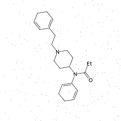 CCC(=O)N(C1=CCCC=C1)C1CCN(CCC2=CCCC=C2)CC1